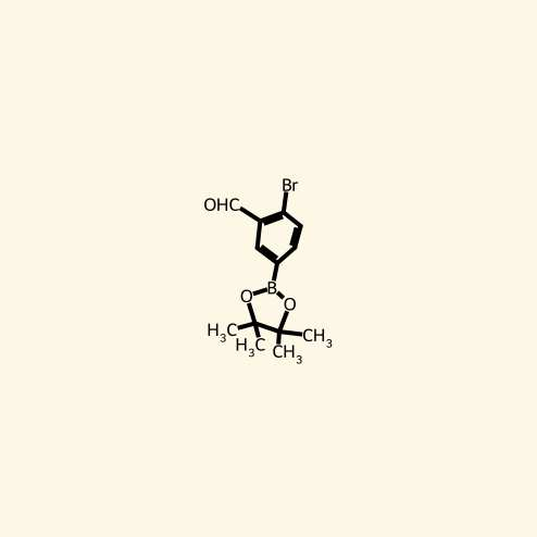 CC1(C)OB(c2ccc(Br)c(C=O)c2)OC1(C)C